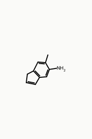 Cc1cc2c(cc1N)C=CC2